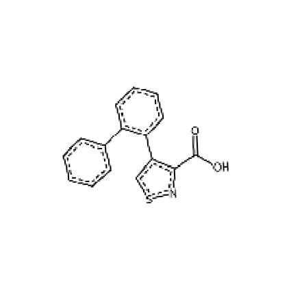 O=C(O)c1nscc1-c1ccccc1-c1ccccc1